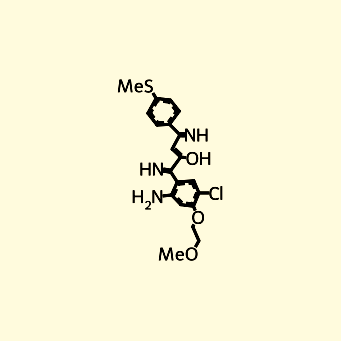 COCCOc1cc(N)c(C(=N)/C(O)=C/C(=N)c2ccc(SC)cc2)cc1Cl